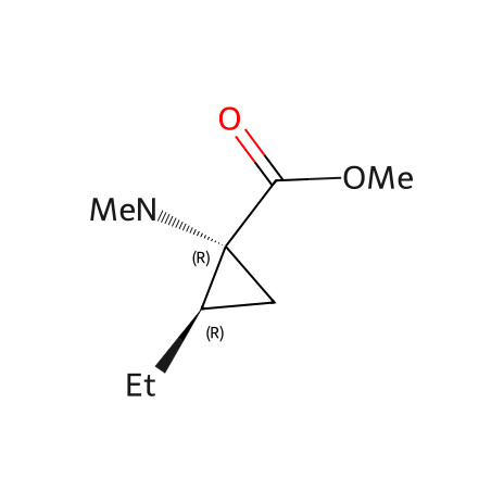 CC[C@@H]1C[C@]1(NC)C(=O)OC